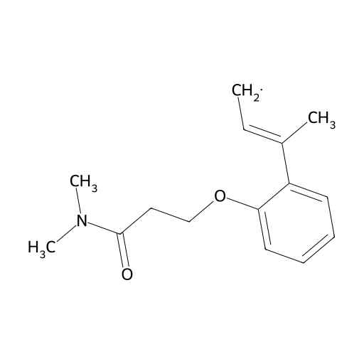 [CH2]C=C(C)c1ccccc1OCCC(=O)N(C)C